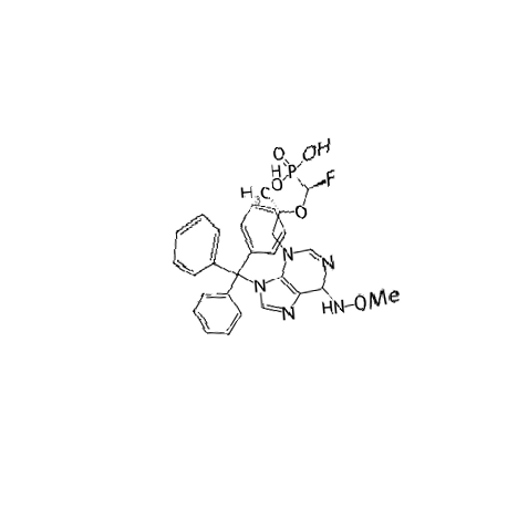 CONC1N=CN(C[C@H](C)O[C@H](F)P(=O)(O)O)c2c1ncn2C(c1ccccc1)(c1ccccc1)c1ccccc1